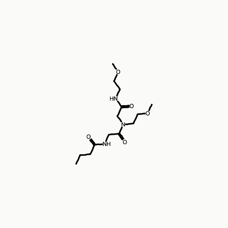 CCCC(=O)NCC(=O)N(CCOC)CC(=O)NCCOC